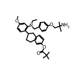 CCN(Cc1ccc(OCC(C)(C)N)cc1)c1cc(OC)ccc1C1CCc2cc(OC(=O)C(C)(C)C)ccc2C1